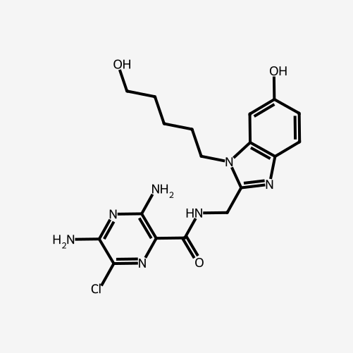 Nc1nc(N)c(C(=O)NCc2nc3ccc(O)cc3n2CCCCCO)nc1Cl